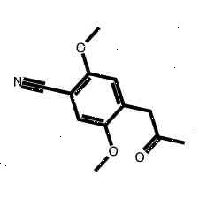 COc1cc(CC(C)=O)c(OC)cc1C#N